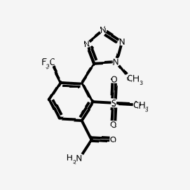 Cn1nnnc1-c1c(C(F)(F)F)ccc(C(N)=O)c1S(C)(=O)=O